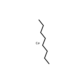 CCCCCCCC.[Ca]